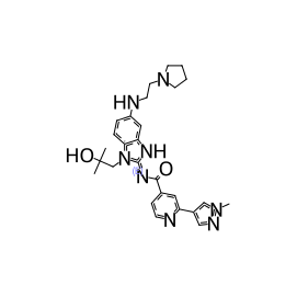 Cn1cc(-c2cc(C(=O)/N=c3\[nH]c4cc(NCCN5CCCC5)ccc4n3CC(C)(C)O)ccn2)cn1